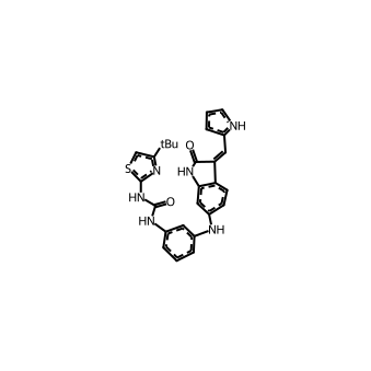 CC(C)(C)c1csc(NC(=O)Nc2cccc(Nc3ccc4c(c3)NC(=O)/C4=C\c3ccc[nH]3)c2)n1